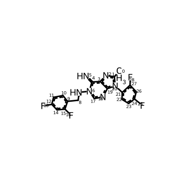 Cc1nc2c(=N)n(NCc3ccc(F)cc3F)cnc2n1-c1ccc(F)cc1F